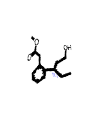 C/C=C(\CCO)c1ccccc1CC(=O)OC